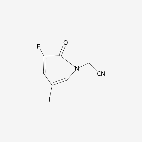 N#CCn1cc(I)cc(F)c1=O